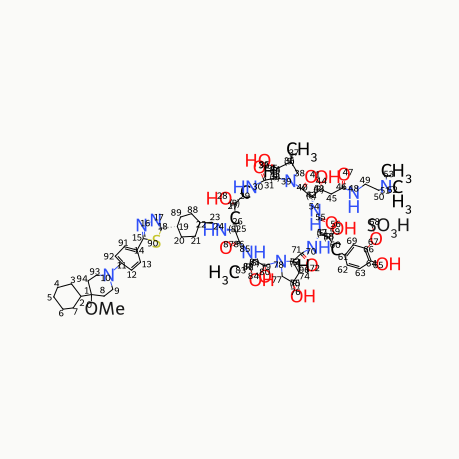 COC1(C2CCCCC2)CCN(c2ccc(-c3nnc([C@H]4CC[C@H](CN[C@H]5C[C@@H](O)CNC(=O)[C@@H]6[C@@H](O)[C@@H](C)CN6C(=O)[C@H]([C@H](O)CC(=O)NCCN(C)C)NC(=O)[C@H]([C@H](O)Cc6ccc(O)c(OS(=O)(=O)O)c6)NC(=O)[C@@H]6C[C@@H](O)CN6C(=O)[C@H]([C@@H](C)O)NC5=O)CC4)s3)cc2)CC1